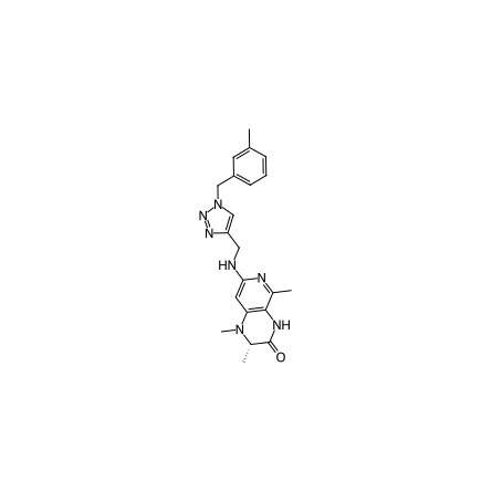 Cc1cccc(Cn2cc(CNc3cc4c(c(C)n3)NC(=O)[C@H](C)N4C)nn2)c1